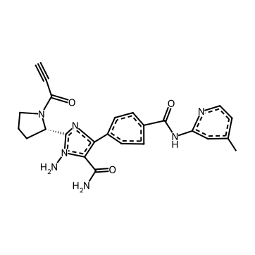 C#CC(=O)N1CCC[C@H]1c1nc(-c2ccc(C(=O)Nc3cc(C)ccn3)cc2)c(C(N)=O)n1N